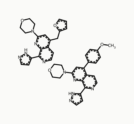 COc1ccc(-c2cc(N3CCOCC3)nc3c(-c4ccn[nH]4)nccc23)cc1.c1coc(Cc2cc(N3CCOCC3)nc3c(-c4ccn[nH]4)nccc23)c1